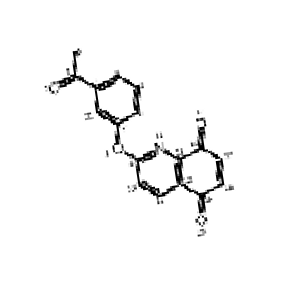 CC(=O)c1cccc(Oc2ccc3c(n2)C(=O)C=CC3=O)c1